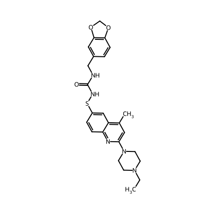 CCN1CCN(c2cc(C)c3cc(SNC(=O)NCc4ccc5c(c4)OCO5)ccc3n2)CC1